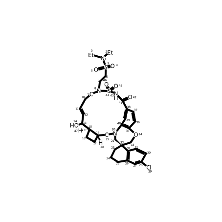 CCN(CC)S(=O)(=O)CCN1CC/C=C/C(O)[C@@H]2CC[C@H]2CN2C[C@@]3(CCCc4cc(Cl)ccc43)COc3ccc(cc32)C(=O)NS1(=O)=O